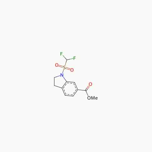 COC(=O)c1ccc2c(c1)N(S(=O)(=O)C(F)F)CC2